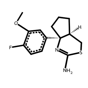 COc1cc([C@]23CCC[C@H]2CSC(N)=N3)ccc1F